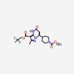 Cc1nn2c(C3CCN(C(=O)OC(C)(C)C)CC3)cc(=O)[nH]c2c1C(=O)OCC(C)(F)F